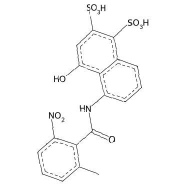 Cc1cccc([N+](=O)[O-])c1C(=O)Nc1cccc2c(S(=O)(=O)O)c(S(=O)(=O)O)cc(O)c12